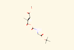 COC(=O)/C=C(\C)C(=O)OC(=O)NCC(=O)OC(C)(C)C